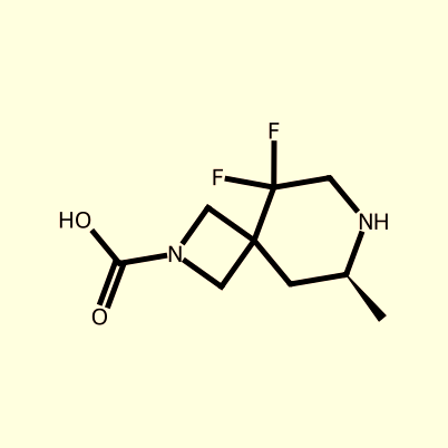 C[C@H]1CC2(CN(C(=O)O)C2)C(F)(F)CN1